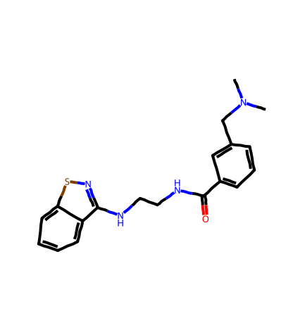 CN(C)Cc1cccc(C(=O)NCCNc2nsc3ccccc23)c1